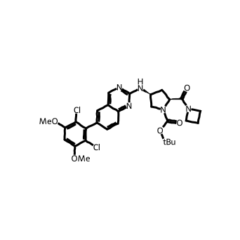 COc1cc(OC)c(Cl)c(-c2ccc3nc(N[C@H]4C[C@@H](C(=O)N5CCC5)N(C(=O)OC(C)(C)C)C4)ncc3c2)c1Cl